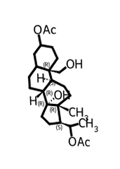 CC(=O)OC1CC[C@@]2(CO)C(CC[C@@H]3[C@@H]2CC[C@]2(C)[C@@H](C(C)OC(C)=O)CC[C@@]32O)C1